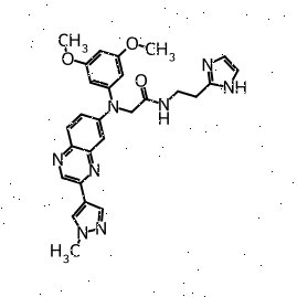 COc1cc(OC)cc(N(CC(=O)NCCc2ncc[nH]2)c2ccc3ncc(-c4cnn(C)c4)nc3c2)c1